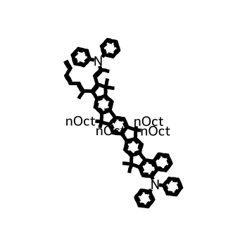 C=C/C=C\C=C(/C)C1=C(/C=C(\C)N(c2ccccc2)c2ccccc2)C(C)(C)c2cc3c(cc21)C(CCCCCCCC)(CCCCCCCC)c1cc2c(cc1-3)C(CCCCCCCC)(CCCCCCCC)c1cc3c(cc1-2)C(C)(C)c1cc(N(c2ccccc2)c2ccccc2)c2ccccc2c1-3